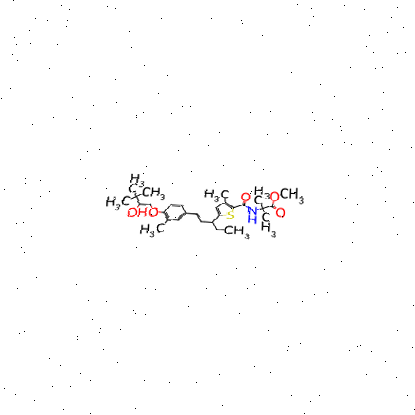 CCC(CCc1ccc(OCC(O)C(C)(C)C)c(C)c1)c1cc(C)c(C(=O)NC(C)(C)C(=O)OC)s1